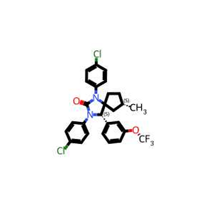 C[C@H]1CCC2(C1)[C@H](c1cccc(OC(F)(F)F)c1)N(c1ccc(Cl)cc1)C(=O)N2c1ccc(Cl)cc1